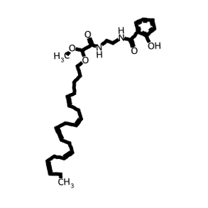 CC/C=C\C/C=C\C/C=C\C/C=C\C/C=C\CCCCOC(OC)C(=O)NCCNC(=O)c1ccccc1O